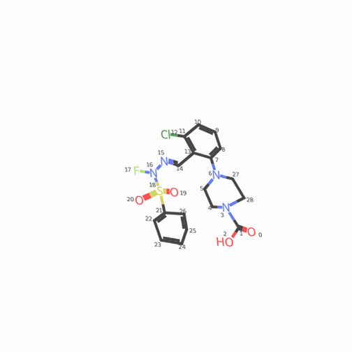 O=C(O)N1CCN(c2cccc(Cl)c2C=NN(F)S(=O)(=O)c2ccccc2)CC1